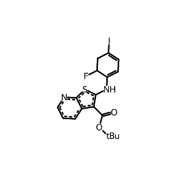 CC(C)(C)OC(=O)c1c(NC2=CC=C(I)CC2F)sc2ncccc12